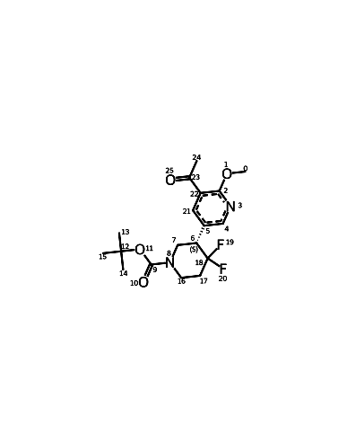 COc1ncc([C@H]2CN(C(=O)OC(C)(C)C)CCC2(F)F)cc1C(C)=O